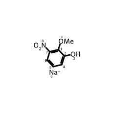 COc1c(O)cccc1[N+](=O)[O-].[Na+]